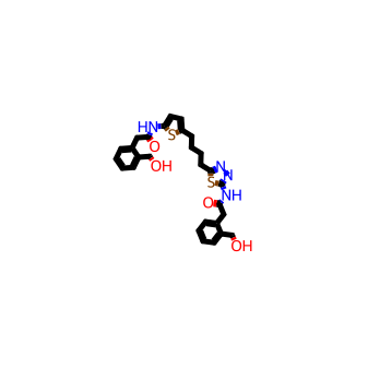 O=C(Cc1ccccc1CO)Nc1ccc(CCCCc2nnc(NC(=O)Cc3ccccc3CO)s2)s1